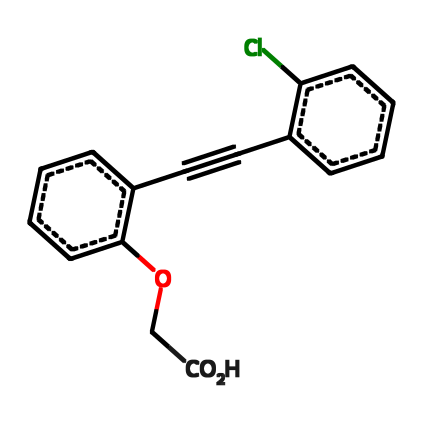 O=C(O)COc1ccccc1C#Cc1ccccc1Cl